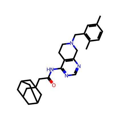 Cc1ccc(C)c(CN2CCc3c(ncnc3NC(=O)CC34CC5CC(CC(C5)C3)C4)C2)c1